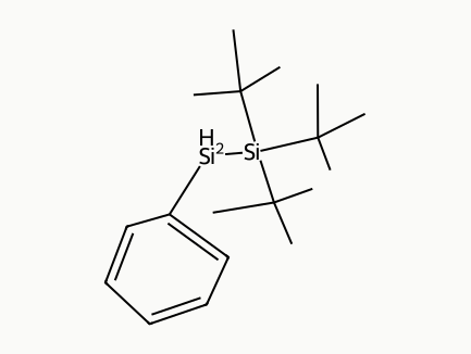 CC(C)(C)[Si]([SiH2]c1ccccc1)(C(C)(C)C)C(C)(C)C